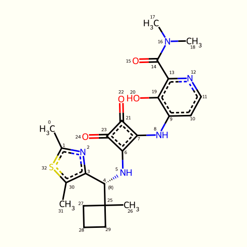 Cc1nc([C@H](Nc2c(Nc3ccnc(C(=O)N(C)C)c3O)c(=O)c2=O)C2(C)CCC2)c(C)s1